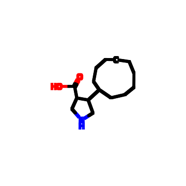 O=C(O)C1CNCC1C1CCCCCCCCC1